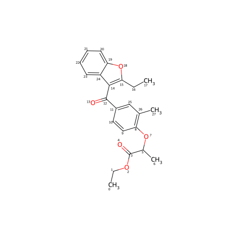 CCOC(=O)C(C)Oc1ccc(C(=O)c2c(CC)oc3ccccc23)cc1C